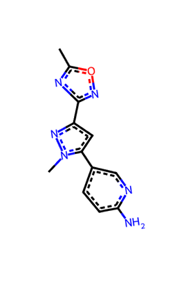 Cc1nc(-c2cc(-c3ccc(N)nc3)n(C)n2)no1